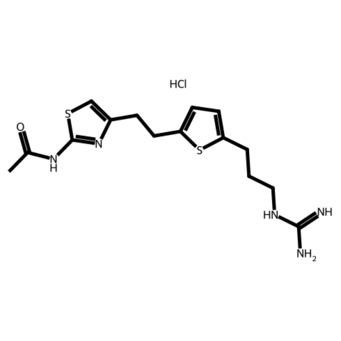 CC(=O)Nc1nc(CCc2ccc(CCCNC(=N)N)s2)cs1.Cl